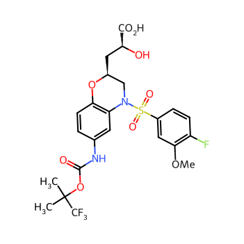 COc1cc(S(=O)(=O)N2C[C@H](C[C@H](O)C(=O)O)Oc3ccc(NC(=O)OC(C)(C)C(F)(F)F)cc32)ccc1F